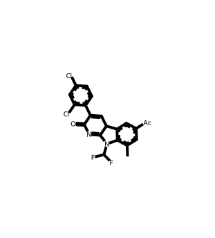 CC(=O)c1cc(C)c2c(c1)C1C=C(c3ccc(Cl)cc3Cl)C(=O)N=C1N2C(F)F